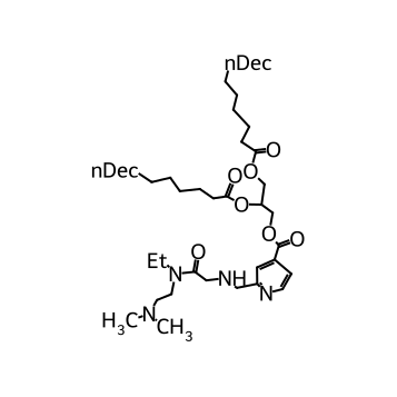 CCCCCCCCCCCCCCCC(=O)OCC(COC(=O)c1ccnc(CNCC(=O)N(CC)CCN(C)C)c1)OC(=O)CCCCCCCCCCCCCCC